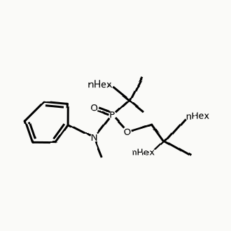 CCCCCCC(C)(CCCCCC)COP(=O)(N(C)c1ccccc1)C(C)(C)CCCCCC